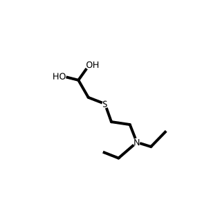 CCN(CC)CCSCC(O)O